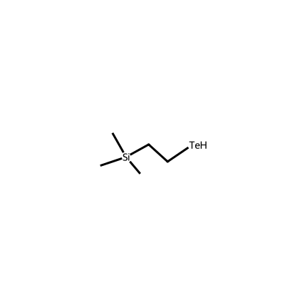 C[Si](C)(C)CC[TeH]